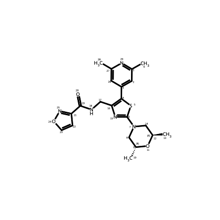 Cc1cc(-c2sc(N3C[C@@H](C)O[C@H](C)C3)nc2CNC(=O)c2ccon2)cc(C)n1